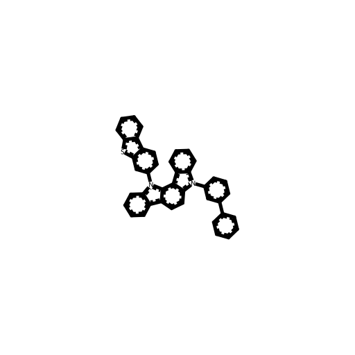 c1ccc(-c2cccc(-n3c4ccccc4c4c3ccc3c5ccccc5n(-c5ccc6c(c5)sc5ccccc56)c34)c2)cc1